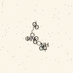 CCOC(=O)CCCc1ccc(NC(=O)O[C@H]2CC[C@H](NC(=O)OC(C)(C)C)CC2)c(-c2ccccc2)c1